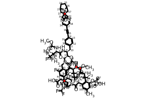 COC(=O)N[C@H](C(=O)N[C@@H](Cc1ccc(C#Cc2cnc(N3CC4CCC(C3)N4C3COC3)nc2)cc1)[C@H](CN(Cc1c(F)cc(-c2ccn(C(F)F)n2)cc1F)NC(=O)[C@@H](NC(=O)OC)C(C)(C)C(F)(F)F)OC(=O)OCOC(=O)CC(C)(C)c1c(CC(=O)N2CCN(CC(=O)O)CC2)cc(C)cc1OP(=O)(O)O)C(C)(C)C(F)(F)F